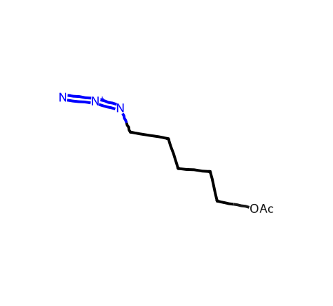 CC(=O)OCCCCCN=[N+]=[N-]